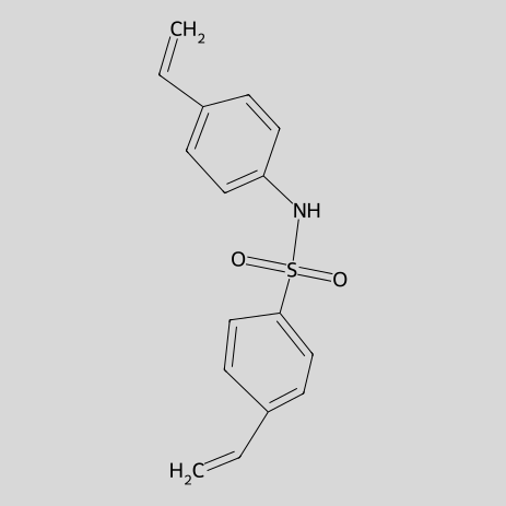 C=Cc1ccc(NS(=O)(=O)c2ccc(C=C)cc2)cc1